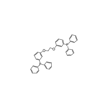 c1ccc(P(c2ccccc2)c2cccc(OCCOc3cccc(P(c4ccccc4)c4ccccc4)c3)c2)cc1